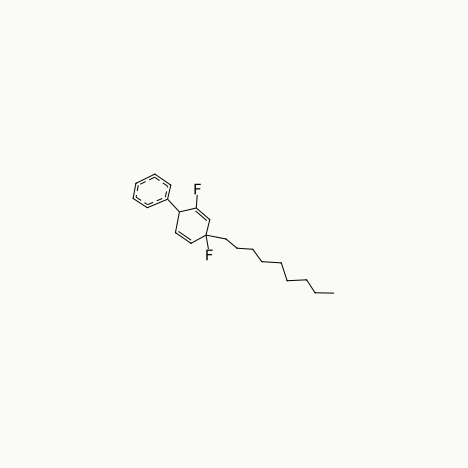 CCCCCCCCCC1(F)C=CC(c2ccccc2)C(F)=C1